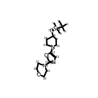 CC(C)(C)[Si](C)(C)OC1CCN(c2cnc(N3CCOCC3)o2)CC1